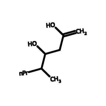 C=C(O)CC(O)C(C)CCC